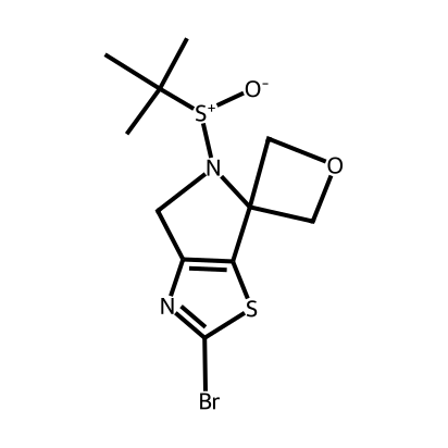 CC(C)(C)[S+]([O-])N1Cc2nc(Br)sc2C12COC2